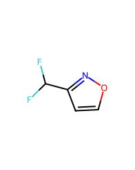 FC(F)c1ccon1